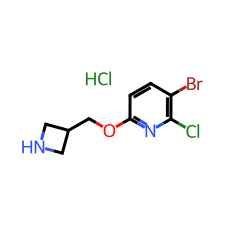 Cl.Clc1nc(OCC2CNC2)ccc1Br